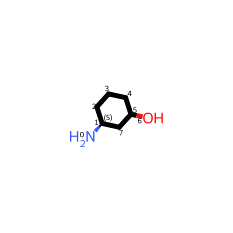 N[C@H]1CCCC(O)C1